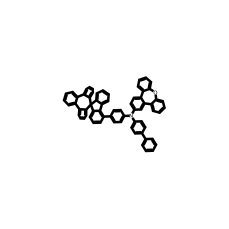 c1ccc(-c2ccc(N(c3ccc(-c4cccc5c4-c4ccccc4C54c5ccccc5-c5ccccc5-c5ccccc54)cc3)c3ccc4c(c3)-c3ccccc3Oc3ccccc3-4)cc2)cc1